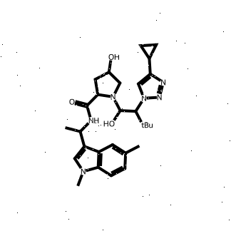 Cc1ccc2c(c1)c(C(C)NC(=O)C1CC(O)CN1C(O)C(n1cc(C3CC3)nn1)C(C)(C)C)cn2C